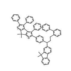 CC1(C)c2ccccc2-c2ccc(C(CCc3ccccc3-c3ccccc3)c3ccc(-c4sc5c(c4-c4ccccc4)-c4c(sc(-c6ccccc6)c4-c4ccccc4)C5(C)C)cc3)cc21